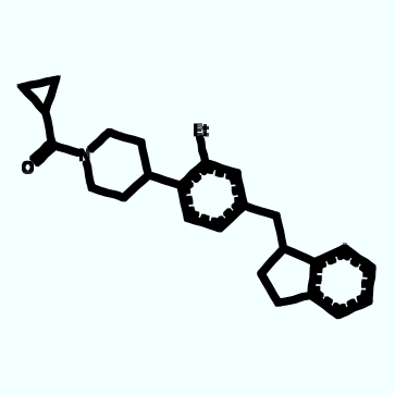 CCc1cc(CC2CCc3ccc[c]c32)ccc1C1CCN(C(=O)C2CC2)CC1